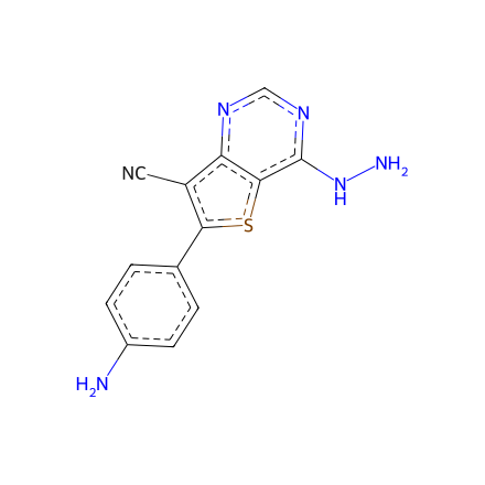 N#Cc1c(-c2ccc(N)cc2)sc2c(NN)ncnc12